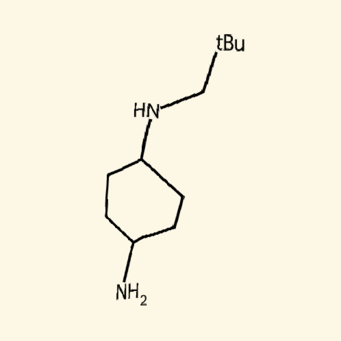 CC(C)(C)CNC1CCC(N)CC1